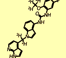 [2H]C([2H])([2H])Oc1ccc(F)cc1NC(=O)Nc1cccc2c1ccn2C([2H])([2H])c1ccnc2[nH]ccc12